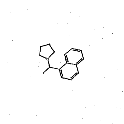 CC(c1cccc2ccccc12)N1CCCC1